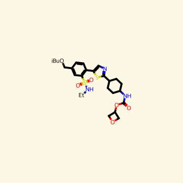 CCNS(=O)(=O)c1cc(COCC(C)C)ccc1-c1cnc(C2CCC(NC(=O)OC3COC3)CC2)s1